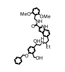 CC[C@H](Cc1ccc2[nH]c(C(=O)NCc3c(OC)cccc3OC)cc2c1)NC[C@H](O)c1ccc(OCc2ccccc2)c(CO)c1